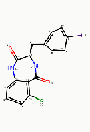 O=C1N[C@H](Cc2ccc(I)cc2)C(=O)Nc2cccc(Cl)c21